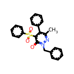 Cc1nn(Cc2ccccc2)c(=O)c(S(=O)(=O)c2ccccc2)c1-c1ccccc1